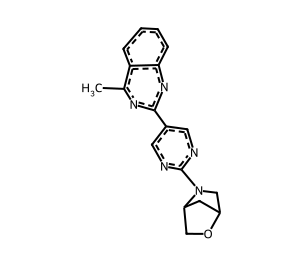 Cc1nc(-c2cnc(N3CC4CC3CO4)nc2)nc2ccccc12